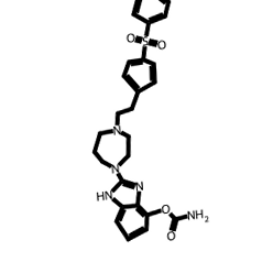 NC(=O)Oc1cccc2[nH]c(N3CCCN(CCc4ccc(S(=O)(=O)c5ccccc5)cc4)CC3)nc12